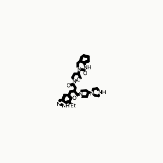 CCc1cc(CC(CC(=O)N2CCC(N3CCc4ccccc4NC3=O)CC2)C(=O)N2CCC(N3CCNCC3)CC2)cc2cn[nH]c12